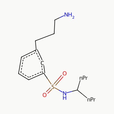 CCCC(CCC)NS(=O)(=O)c1cccc(CCCN)c1